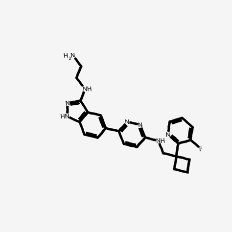 NCCNc1n[nH]c2ccc(-c3ccc(NCC4(c5ncccc5F)CCC4)nn3)cc12